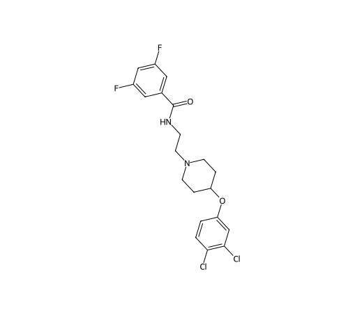 O=C(NCCN1CCC(Oc2ccc(Cl)c(Cl)c2)CC1)c1cc(F)cc(F)c1